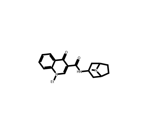 CCn1cc(C(=O)NC2CC3CCC(C2)N3C)c(=O)c2ccccc21